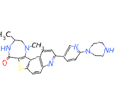 CC1CN(C)c2c(sc3ccc4nc(-c5ccc(N6CCNCC6)nc5)ccc4c23)C(=O)N1